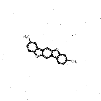 Cc1ccc2c(c1)oc1cc3c(cc12)oc1ccc(C)cc13